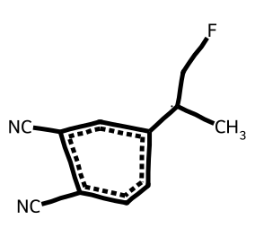 C[C](CF)c1ccc(C#N)c(C#N)c1